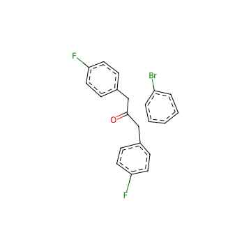 Brc1ccccc1.O=C(Cc1ccc(F)cc1)Cc1ccc(F)cc1